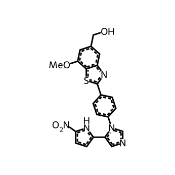 COc1cc(CO)cc2nc(-c3ccc(-n4cncc4-c4ccc([N+](=O)[O-])[nH]4)cc3)sc12